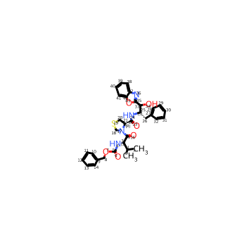 CC(C)[C@H](NC(=O)OCc1ccccc1)C(=O)N1CSC[C@H]1C(=O)N[C@@H](Cc1ccccc1)C(O)c1nc2ccccc2o1